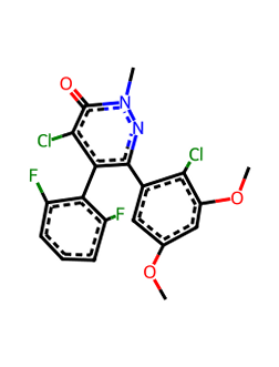 COc1cc(OC)c(Cl)c(-c2nn(C)c(=O)c(Cl)c2-c2c(F)cccc2F)c1